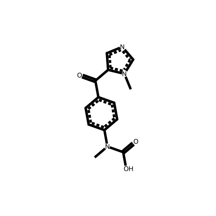 CN(C(=O)O)c1ccc(C(=O)c2cncn2C)cc1